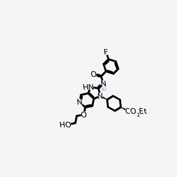 CCOC(=O)[C@H]1CC[C@@H](n2/c(=N/C(=O)c3cccc(F)c3)[nH]c3cnc(OCCO)cc32)CC1